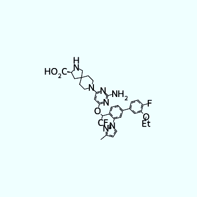 CCOc1cc(-c2ccc(C(Oc3cc(N4CCC5(CC4)CN[C@H](C(=O)O)C5)nc(N)n3)C(F)(F)F)c(-n3ccc(C)n3)c2)ccc1F